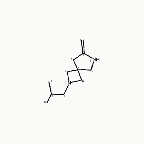 C=C1CC2(CN1)CN(CC(C)C)C2